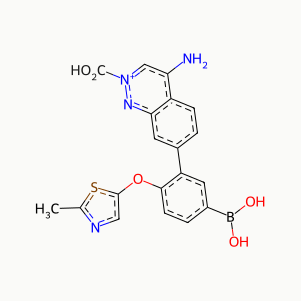 Cc1ncc(Oc2ccc(B(O)O)cc2-c2ccc3c(N)c[n+](C(=O)O)nc3c2)s1